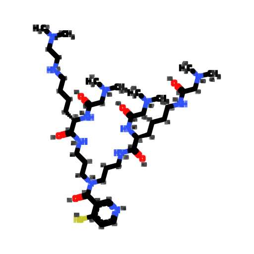 CN(C)CCNCCCC[C@H](NC(=O)CN(C)C)C(=O)NCCCN(CCCNC(=O)[C@H](CCCCNC(=O)CN(C)C)NC(=O)CN(C)C)C(=O)c1cnccc1S